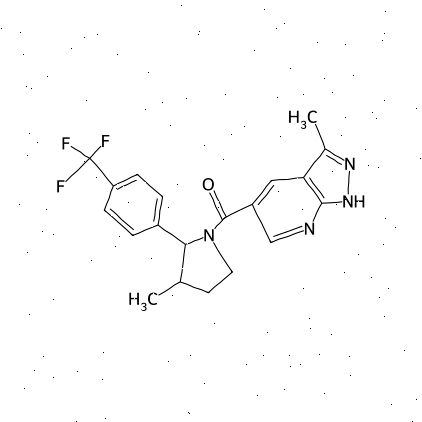 Cc1n[nH]c2ncc(C(=O)N3CCC(C)C3c3ccc(C(F)(F)F)cc3)cc12